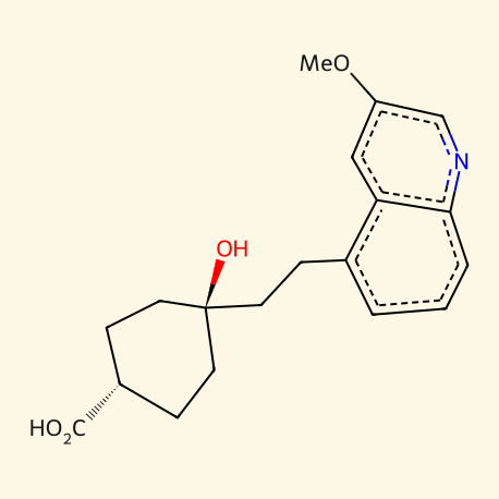 COc1cnc2cccc(CC[C@]3(O)CC[C@H](C(=O)O)CC3)c2c1